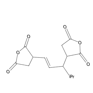 CC(C)C(C=CC1CC(=O)OC1=O)C1CC(=O)OC1=O